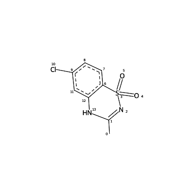 CC1=NS(=O)(=O)c2ccc(Cl)cc2N1